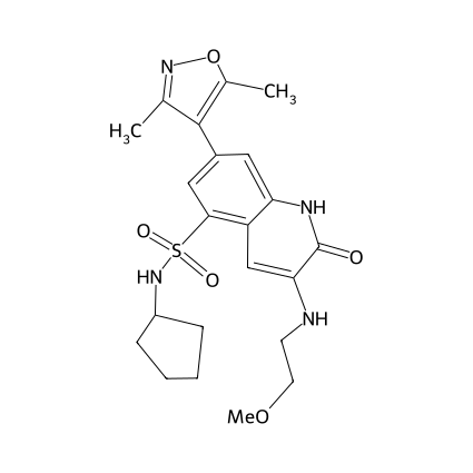 COCCNc1cc2c(S(=O)(=O)NC3CCCC3)cc(-c3c(C)noc3C)cc2[nH]c1=O